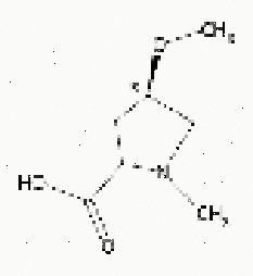 CO[C@@H]1CC(C(=O)O)N(C)C1